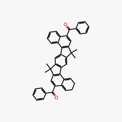 CC1(C)c2cc3c(cc2-c2c1cc(C(=O)c1ccccc1)c1c2=CCCC=1)C(C)(C)c1cc(C(=O)c2ccccc2)c2ccccc2c1-3